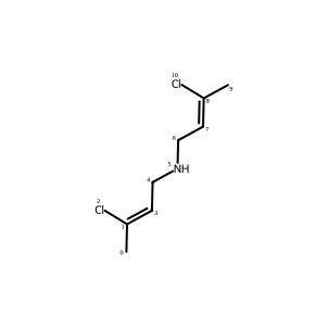 CC(Cl)=CCNCC=C(C)Cl